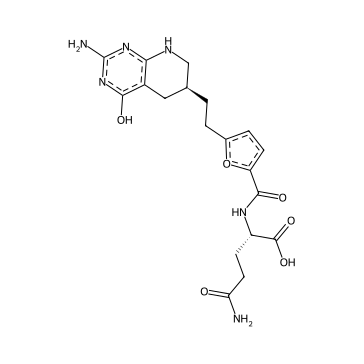 NC(=O)CC[C@H](NC(=O)c1ccc(CC[C@@H]2CNc3nc(N)nc(O)c3C2)o1)C(=O)O